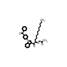 CCCCCCCCCCC/C(=N\OC(C)=O)C(=O)c1cn(-c2ccc(C(=O)c3ccccc3)cc2)c2ccccc12